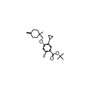 C=C1CCC(C)(COc2cc(F)c(C(=O)OC(C)(C)C)cc2C2CC2)CC1